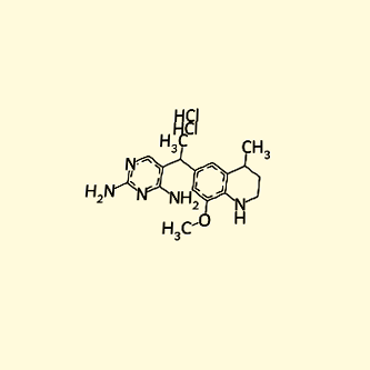 COc1cc(C(C)c2cnc(N)nc2N)cc2c1NCCC2C.Cl.Cl